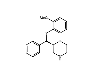 COc1ccccc1SC(c1ccccc1)[C@@H]1CNCCO1